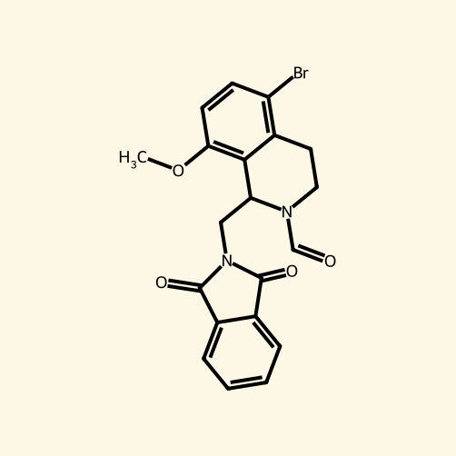 COc1ccc(Br)c2c1C(CN1C(=O)c3ccccc3C1=O)N(C=O)CC2